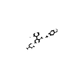 COc1cnccc1-c1cc(N2C=CC(C(F)F)=C(F)C2=C=O)ncc1C(=O)Nc1nc2cc3c(cc2s1)NCC3